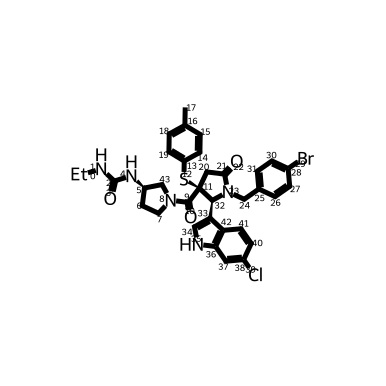 CCNC(=O)N[C@@H]1CCN(C(=O)[C@]2(Sc3ccc(C)cc3)CC(=O)N(Cc3ccc(Br)cc3)[C@H]2c2c[nH]c3cc(Cl)ccc23)C1